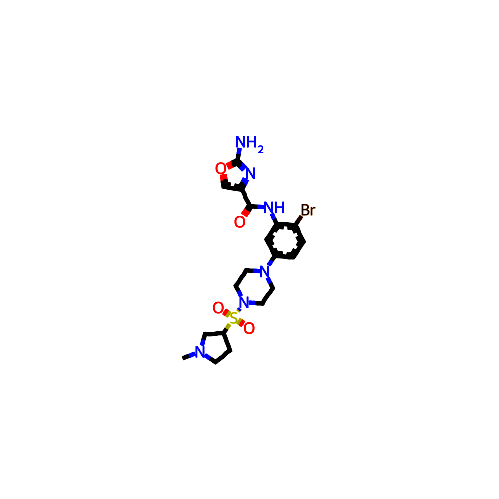 CN1CCC(S(=O)(=O)N2CCN(c3ccc(Br)c(NC(=O)c4coc(N)n4)c3)CC2)C1